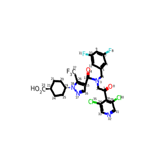 O=C(CN(Cc1cc(F)cc(F)c1)C(=O)c1cnn([C@H]2CC[C@H](C(=O)O)CC2)c1C(F)(F)F)c1c(Cl)cncc1Cl